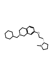 CN1CCC[C@H]1CCOc1ccc2c(c1)CN(CC1CCCCC1)CC2